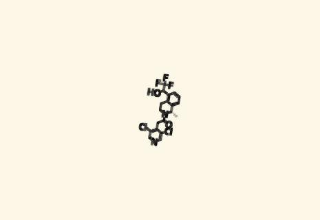 C[C@H]1c2cccc(C(O)C(F)(F)F)c2CCN1C(=O)Cc1c(Cl)cncc1Cl